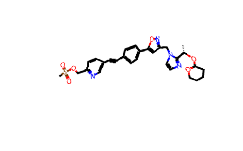 C[C@H](OC1CCCCO1)c1nccn1Cc1cc(-c2ccc(C#Cc3ccc(COS(C)(=O)=O)nc3)cc2)on1